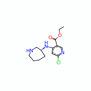 CCOC(=O)c1cnc(Cl)cc1N[C@H]1CCCCNC1